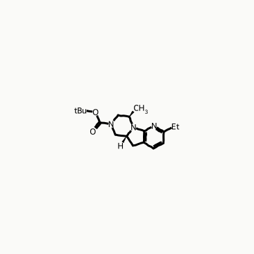 CCc1ccc2c(n1)N1[C@H](C2)CN(C(=O)OC(C)(C)C)C[C@H]1C